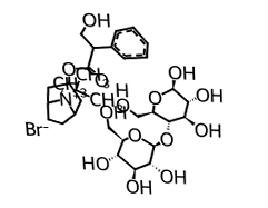 CC(C)[N+]1(C)C2CCC1CC(OC(=O)C(CO)c1ccccc1)C2.OC[C@H]1O[C@@H](O[C@H]2[C@H](O)[C@@H](O)[C@H](O)O[C@@H]2CO)[C@H](O)[C@@H](O)[C@@H]1O.[Br-]